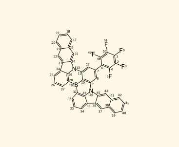 Fc1c(F)c(F)c(-c2cc3c4c(c2)-n2c5cc6ccccc6cc5c5cccc(c52)B4c2cccc4c5cc6ccccc6cc5n-3c24)c(F)c1F